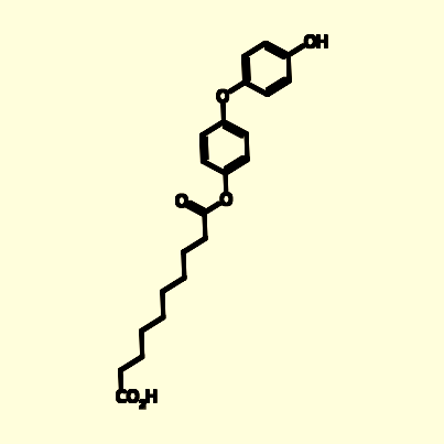 O=C(O)CCCCCCCCC(=O)Oc1ccc(Oc2ccc(O)cc2)cc1